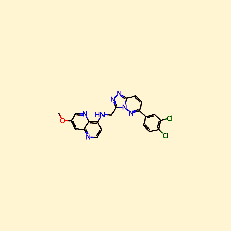 COc1cnc2c(NCc3nnc4ccc(-c5ccc(Cl)c(Cl)c5)nn34)ccnc2c1